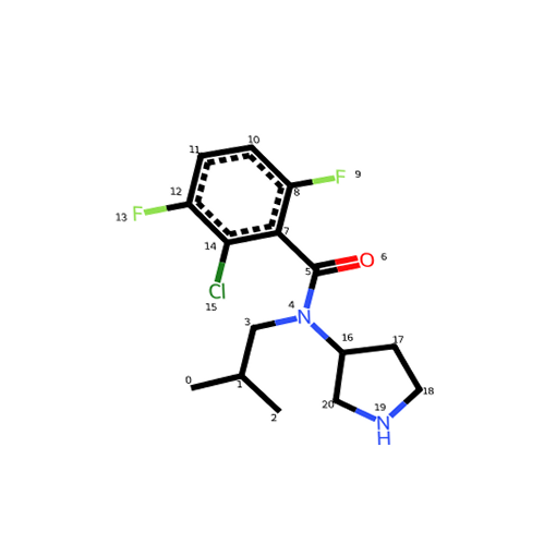 CC(C)CN(C(=O)c1c(F)ccc(F)c1Cl)C1CCNC1